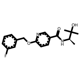 C[C@@H](NC(=O)c1ccc(OCc2cccc(F)c2)nc1)C(C)(C)O